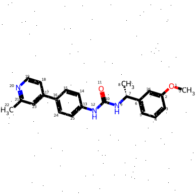 COc1cccc([C@@H](C)NC(=O)Nc2ccc(-c3ccnc(C)c3)cc2)c1